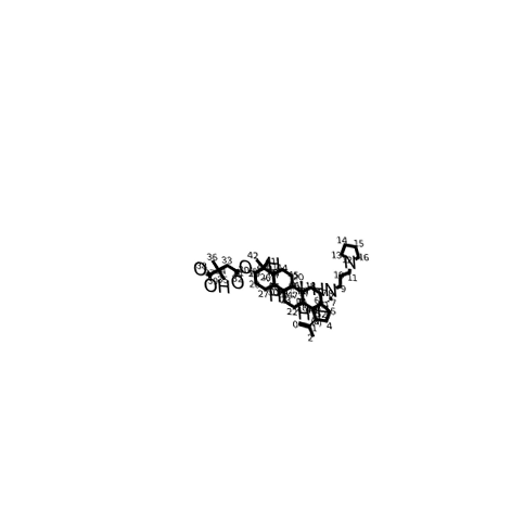 C=C(C)[C@@H]1CC[C@]2(CNCCCN3CCCC3)CC[C@]3(C)[C@H](CC[C@@H]4[C@@]5(C)CC[C@H](OC(=O)CC(C)(C)C(=O)O)C(C)(C)[C@@H]5CC[C@]43C)[C@@H]12